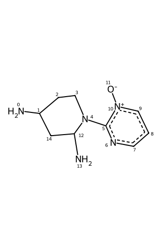 NC1CCN(c2nccc[n+]2[O-])C(N)C1